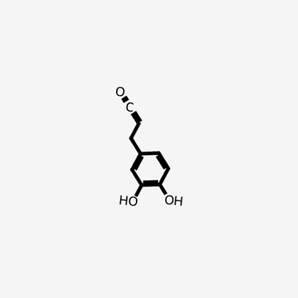 O=C=CCc1ccc(O)c(O)c1